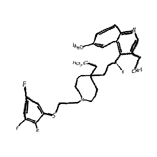 COc1ccc2ncc(CO)c([C@@H](F)CCC3(CC(=O)O)CCN(CCSc4cc(F)cc(F)c4F)CC3)c2c1